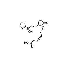 O=C(O)CC=C=CCC[C@H]1C(=O)CC=C1CC[C@H](O)C1CCCC1